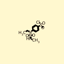 CCN(c1ccc(S(=O)(=O)Cl)cc1)S(=O)(=O)NC